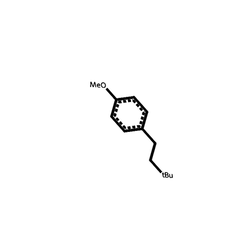 COc1ccc(CCC(C)(C)C)cc1